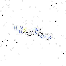 C=C(Nc1cc2cc(-c3cnc(N)s3)ccc2cn1)c1ccnc(N2CCN(C)CC2)c1